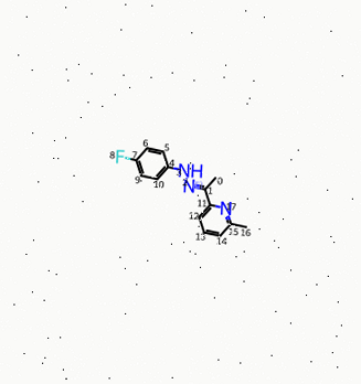 C/C(=N\Nc1ccc(F)cc1)c1cccc(C)n1